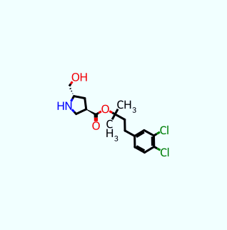 CC(C)(CCc1ccc(Cl)c(Cl)c1)OC(=O)[C@H]1CN[C@H](CO)C1